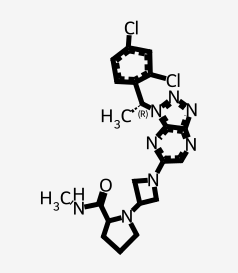 CNC(=O)C1CCCN1C1CN(c2cnc3nnn([C@H](C)c4ccc(Cl)cc4Cl)c3n2)C1